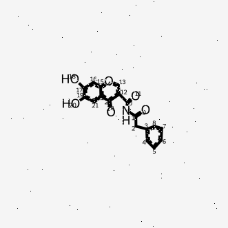 O=C(Cc1ccccc1)NC(=O)c1coc2cc(O)c(O)cc2c1=O